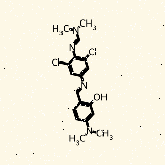 CN(C)C=Nc1c(Cl)cc(N=Cc2ccc(N(C)C)cc2O)cc1Cl